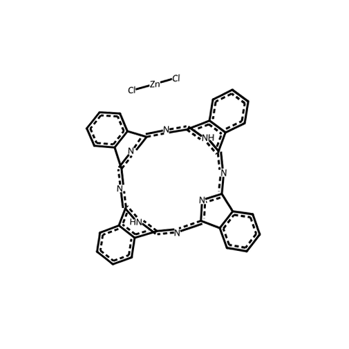 [Cl][Zn][Cl].c1ccc2c(c1)-c1nc-2nc2[nH]c(nc3nc(nc4[nH]c(n1)c1ccccc41)-c1ccccc1-3)c1ccccc21